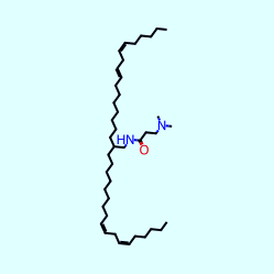 CCCCC/C=C\C/C=C\CCCCCCCCC(CCCCCCC/C=C/C/C=C\CCCCC)CNC(=O)CCN(C)C